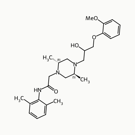 COc1ccccc1OCC(O)CN1C[C@@H](C)N(CC(=O)Nc2c(C)cccc2C)C[C@@H]1C